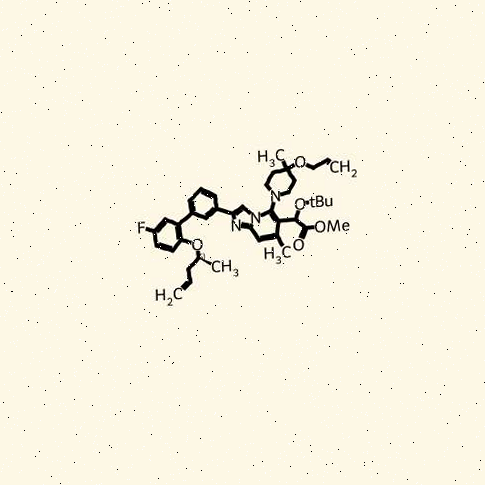 C=CCOC1(C)CCN(c2c(C(OC(C)(C)C)C(=O)OC)c(C)cc3nc(-c4cccc(-c5cc(F)ccc5O[C@@H](C)CC=C)c4)cn23)CC1